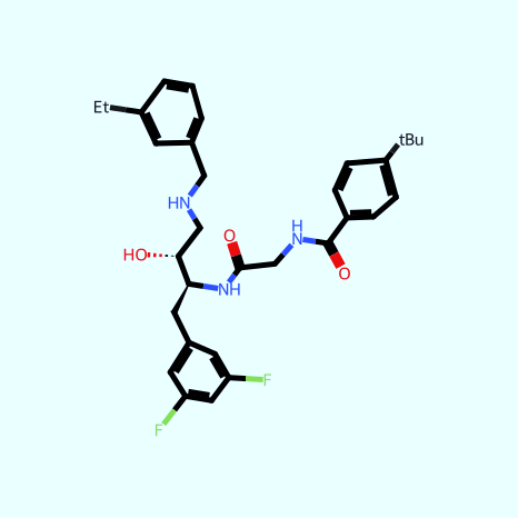 CCc1cccc(CNC[C@@H](O)[C@H](Cc2cc(F)cc(F)c2)NC(=O)CNC(=O)c2ccc(C(C)(C)C)cc2)c1